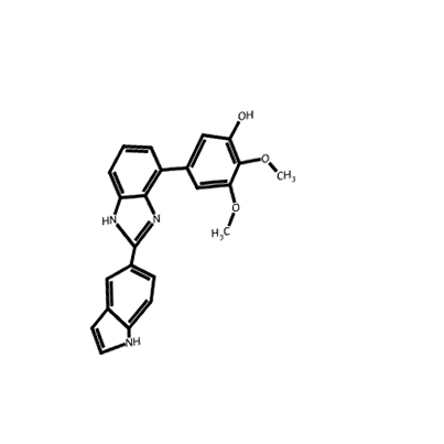 COc1cc(-c2cccc3[nH]c(-c4ccc5[nH]ccc5c4)nc23)cc(O)c1OC